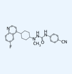 CN(NC(=O)Nc1ccc(C#N)cc1)C1CCC(c2ccnc3ccc(F)cc23)CC1